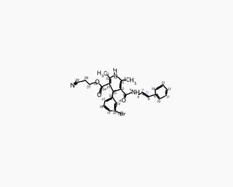 CC1=C(C(=O)NC/C=C/c2ccccc2)C(c2cccc(Br)c2)C(C(=O)OCCC#N)=C(C)N1